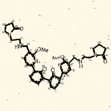 COc1nc(-c2cccc(-c3cccc(-c4ccc(CNCCN5CCCC5=O)c(OC)n4)c3Cl)c2Cl)ccc1CNCCN1CCCC1=O